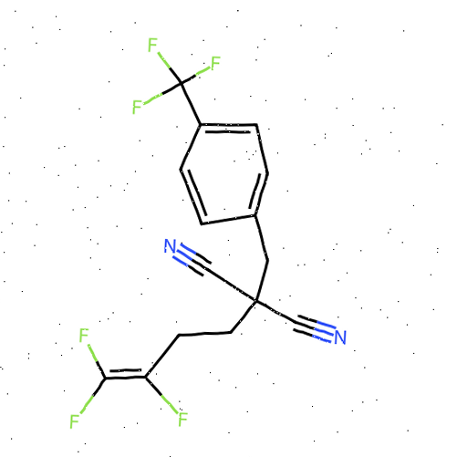 N#CC(C#N)(CCC(F)=C(F)F)Cc1ccc(C(F)(F)F)cc1